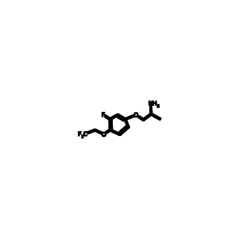 CC(N)COc1ccc(OCC(F)(F)F)c(F)c1